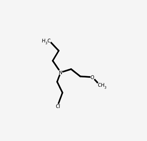 CCCN(CCCl)CCOC